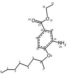 CCCCCCC(C)Oc1ccc(C(=O)OCC)cc1N